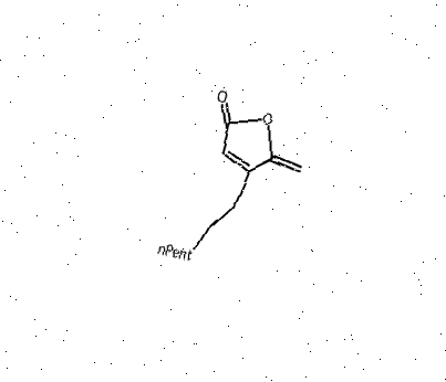 C=C1OC(=O)C=C1CCCCCCC